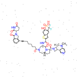 CN(C)c1ccncc1C1CN(C(=O)[C@@H]2CC[C@@H]3CCN(C(=O)CCCCCC#Cc4cccc5c4CN(C4CCC(=O)NC4=O)C5=O)C[C@H](NC(=O)c4cc5cc(C(F)(F)P(=O)(O)O)ccc5s4)C(=O)N32)C1